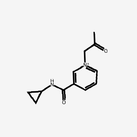 CC(=O)C[n+]1cccc(C(=O)NC2CC2)c1